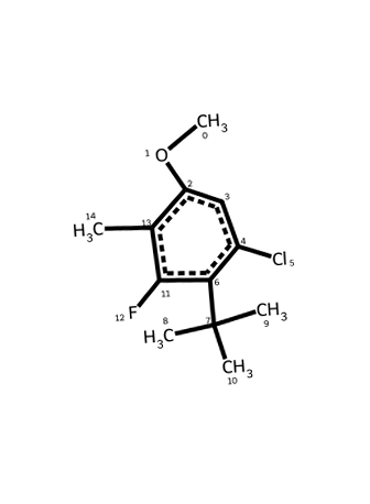 COc1cc(Cl)c(C(C)(C)C)c(F)c1C